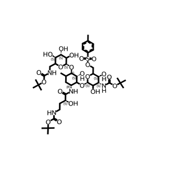 Cc1ccc(S(=O)(=O)OCC2O[C@H](OC3[C@@H](O)[C@H](O[C@H]4OC(CNC(=O)OC(C)(C)C)[C@@H](O)[C@H](O)C4O)C(C)C[C@H]3NC(=O)[C@@H](O)CCNC(=O)OC(C)(C)C)C(O)[C@@H](NC(=O)OC(C)(C)C)[C@@H]2O)cc1